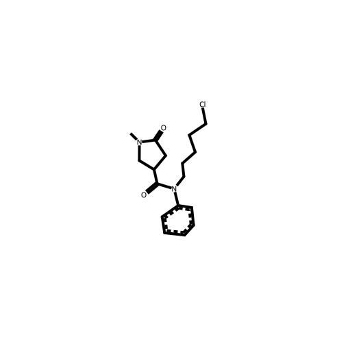 CN1CC(C(=O)N(CCCCCCl)c2ccccc2)CC1=O